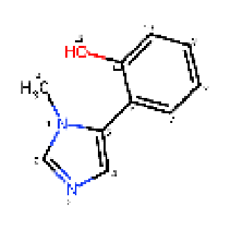 Cn1cncc1-c1cc[c]cc1O